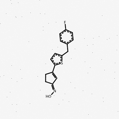 O/N=C1/C=C(c2ccc(Cc3ccc(F)cc3)s2)CC1